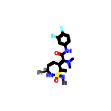 C=C1/C(=C(/C(=O)Nc2ccc(F)c(F)c2)N(C)C)C=C[C@H](C(C)C)NS1(=O)=NCC